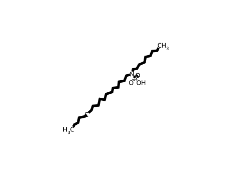 CCCCCCCCCCCCCCCCCCN(CCCCCCCCC)S(=O)(=O)O